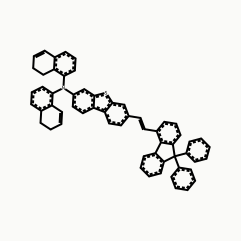 C1=Cc2c(cccc2N(c2ccc3c(c2)sc2cc(/C=C/c4cccc5c4-c4ccccc4C5(c4ccccc4)c4ccccc4)ccc23)c2cccc3c2CCC=C3)CC1